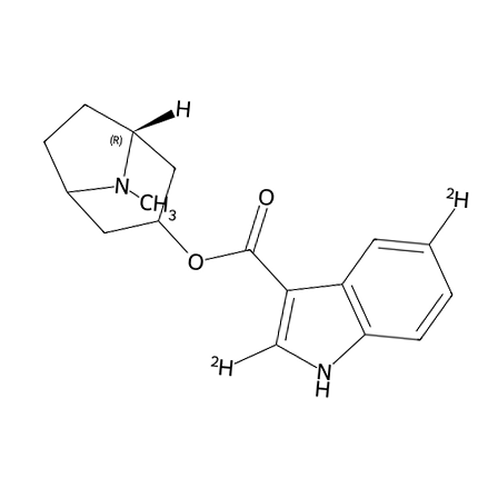 [2H]c1ccc2[nH]c([2H])c(C(=O)OC3CC4CC[C@H](C3)N4C)c2c1